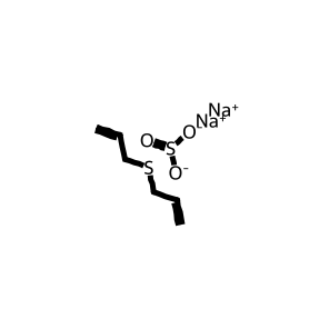 C=CCSCC=C.O=S([O-])[O-].[Na+].[Na+]